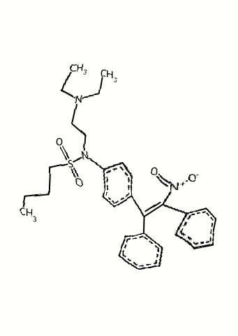 CCCCS(=O)(=O)N(CCN(CC)CC)c1ccc(C(=C(c2ccccc2)[N+](=O)[O-])c2ccccc2)cc1